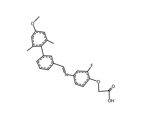 COc1cc(C)c(-c2cccc(C=Nc3ccc(OCC(=O)O)c(F)c3)c2)c(C)c1